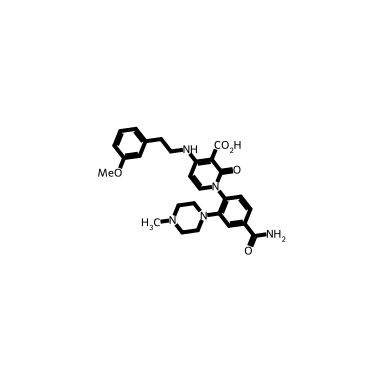 COc1cccc(CCNc2ccn(-c3ccc(C(N)=O)cc3N3CCN(C)CC3)c(=O)c2C(=O)O)c1